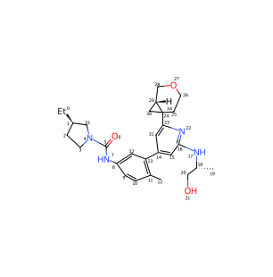 CC[C@@H]1CCN(C(=O)Nc2ccc(C)c(-c3cc(N[C@H](C)CO)nc(C45CCOC[C@H]4C5)c3)c2)C1